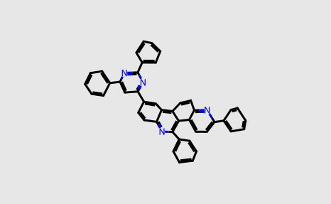 c1ccc(-c2cc(-c3ccc4nc(-c5ccccc5)c5c6ccc(-c7ccccc7)nc6ccc5c4c3)nc(-c3ccccc3)n2)cc1